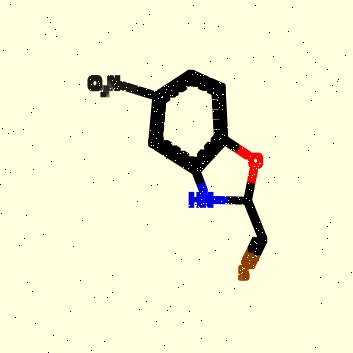 O=[N+]([O-])c1ccc2c(c1)NC(C=S)O2